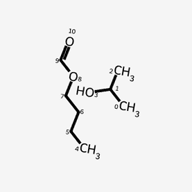 CC(C)O.CCCCOC=O